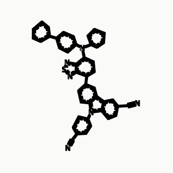 N#Cc1ccc(-n2c3ccc(C#N)cc3c3cc(-c4ccc(N(c5ccccc5)c5ccc(-c6ccccc6)cc5)c5nsnc45)ccc32)cc1